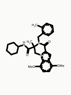 COc1ccc(OC)c2c1cc1n2CC(C)(C(=O)NC2CCCCC2)N(Cc2ccccc2C)C1=O